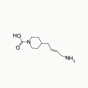 NC/C=C/CC1CCN(C(=O)O)CC1